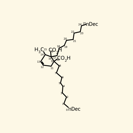 CCCCCCCCCCCCCCCCCCC1(C(=O)O)CC=CC(C)C1(CCCCCCCCCCCCCCCCCC)C(=O)O